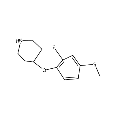 CSc1ccc(OC2CCNCC2)c(F)c1